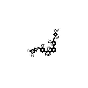 COc1cc(-c2ncnc(-c3cccc(-c4ccc(CN[C@H]5C[C@@H](O)C5)c(OC)n4)c3Cl)c2Cl)ccc1CN1CC2(CNC(=O)C2)C1